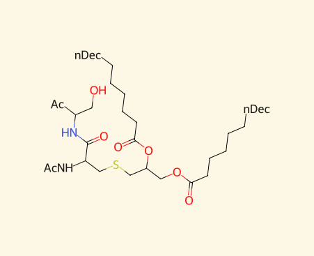 CCCCCCCCCCCCCCCC(=O)OCC(CSCC(NC(C)=O)C(=O)NC(CO)C(C)=O)OC(=O)CCCCCCCCCCCCCCC